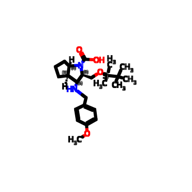 COc1ccc(CN[C@H]2[C@H]3CCC[C@H]3N(C(=O)O)[C@H]2CO[Si](C)(C)C(C)(C)C)cc1